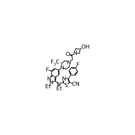 CCN(c1nc(-c2ccc(F)cc2)c(C#N)s1)c1c2cc(N3CCN(CC(=O)N4CC(O)C4)C[C@H]3C(F)(F)F)cc(F)c2nn1CC